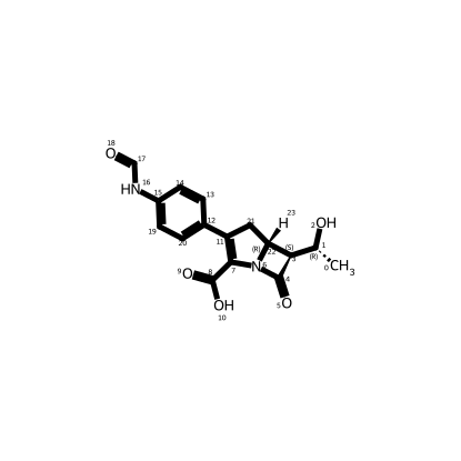 C[C@@H](O)[C@H]1C(=O)N2C(C(=O)O)=C(c3ccc(NC=O)cc3)C[C@H]12